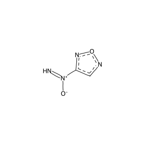 N=[N+]([O-])c1cnon1